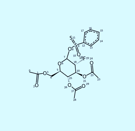 CC(=O)OC[C@H]1OC(OS(=O)(=S)c2ccccc2)[C@H]([18F])[C@@H](OC(C)=O)[C@@H]1OC(C)=O